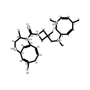 CC1C=CC(N(C)CC2(C)CN(C(=O)N3C4=CC(/C=C(/F)C/C=C\4)OCC3C)C2)CN(C)/C=C\1